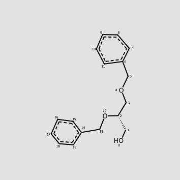 OC[C@@H](COCc1ccccc1)OCc1ccccc1